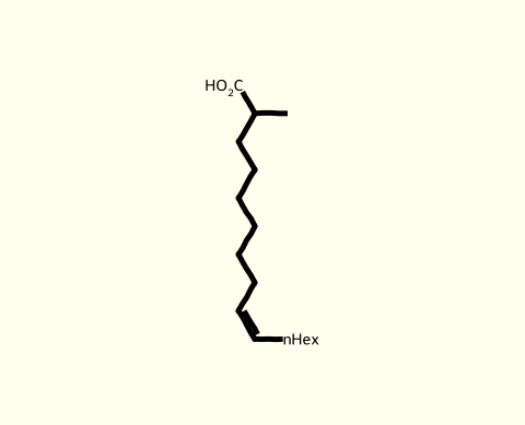 CCCCCC/C=C\CCCCCCC(C)C(=O)O